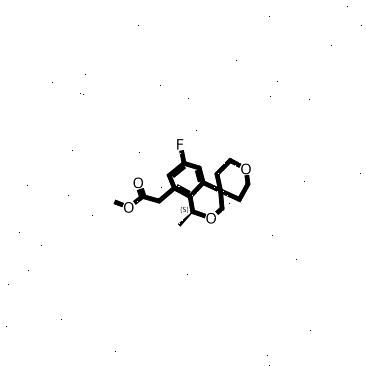 COC(=O)Cc1cc(F)cc2c1[C@H](C)OCC21CCOCC1